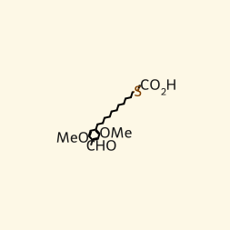 COc1cc(CCCCCCCCCCCSCC(=O)O)c(OC)cc1C=O